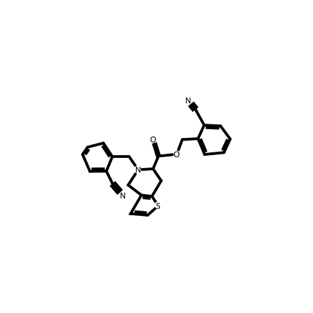 N#Cc1ccccc1COC(=O)C1Cc2sccc2CN1Cc1ccccc1C#N